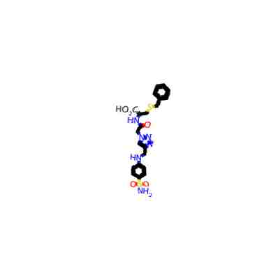 NS(=O)(=O)c1ccc(NCc2cn(CC(=O)NC(CSCc3ccccc3)C(=O)O)nn2)cc1